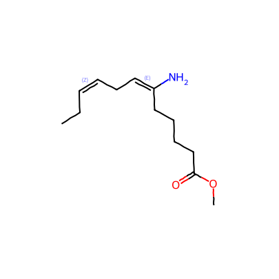 CC/C=C\C/C=C(/N)CCCCC(=O)OC